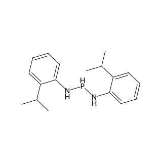 CC(C)c1ccccc1NPNc1ccccc1C(C)C